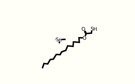 CCCCCCCCCCCCCCOC(=O)CS.[CH3][Sn][CH3]